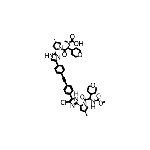 COC(=O)N[C@H](C(=O)N1C[C@@H](C)C[C@H]1c1nc(Cl)c(-c2ccc(C#Cc3ccc(-c4c[nH]c([C@@H]5C[C@H](C)CN5C(=O)[C@H](C5CCOCC5)N(C)C(=O)O)n4)cc3)cc2)[nH]1)C1CCOCC1